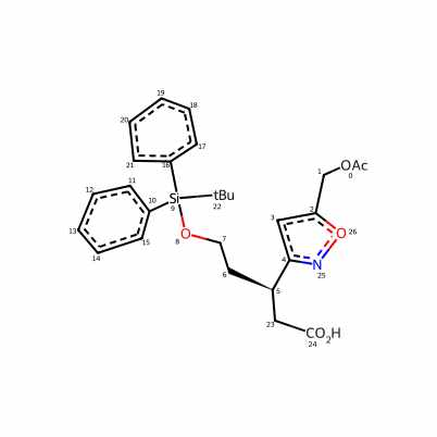 CC(=O)OCc1cc([C@H](CCO[Si](c2ccccc2)(c2ccccc2)C(C)(C)C)CC(=O)O)no1